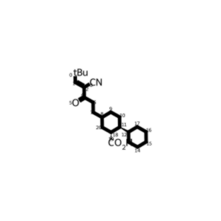 CC(C)(C)/C=C(\C#N)C(=O)CCC1CC[C@@H](C2CCCCC2)[C@H](C(=O)O)C1